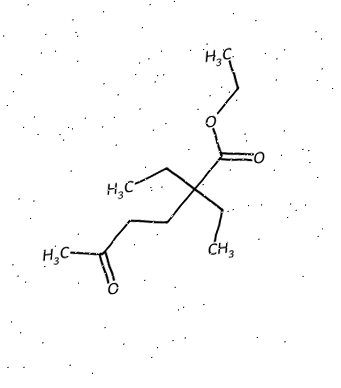 CCOC(=O)C(CC)(CC)CCC(C)=O